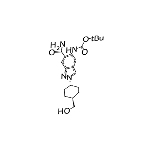 CC(C)(C)OC(=O)Nc1cc2cn([C@H]3CC[C@H](CO)CC3)nc2cc1C(N)=O